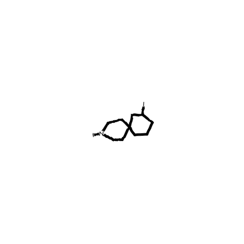 IC1CCCC2(CCN(I)CC2)C1